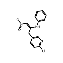 O=[N+]([O-])/C=C(\Cc1ccc(Cl)nc1)Nc1ccccc1